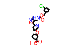 Cc1noc(-c2ccc(O[C@H]3CCC[C@H](C(=O)O)C3)cn2)c1CNC(=O)OCc1cccc(Cl)c1